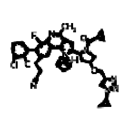 Cc1nc2c(F)c(-c3cccc(Cl)c3Cl)c(CCC#N)cc2c2c1cc(C1CC(OCc3cn(C4CC4)nn3)CN1C(=O)C1CC1)n2C1C2CNC1C2